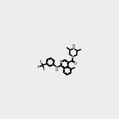 Cc1cccc2c(Nc3cccc(C(F)(F)F)c3)ncc(C(=O)N3CC(C)NC(C)C3)c12